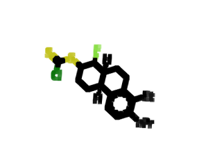 CCCc1ccc2c(c1CC)CC[C@@H]1[C@@H]2CCC(SC(=S)Cl)[C@H]1F